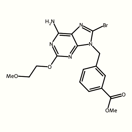 COCCOc1nc(N)c2nc(Br)n(Cc3cccc(C(=O)OC)c3)c2n1